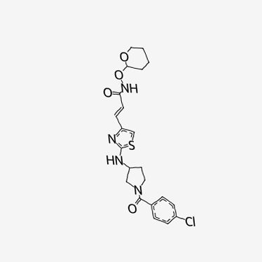 O=C(C=Cc1csc(NC2CCN(C(=O)c3ccc(Cl)cc3)C2)n1)NOC1CCCCO1